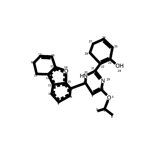 CC(C)OC1=CC(c2cccc3c4c(oc23)C=CCC4)NC(C2=C(O)C=CCC2)=N1